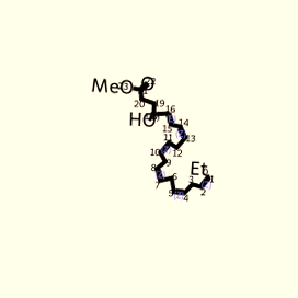 CC/C=C\C/C=C\C/C=C\C/C=C\C/C=C\C=C\[C@@H](O)CCC(=O)OC